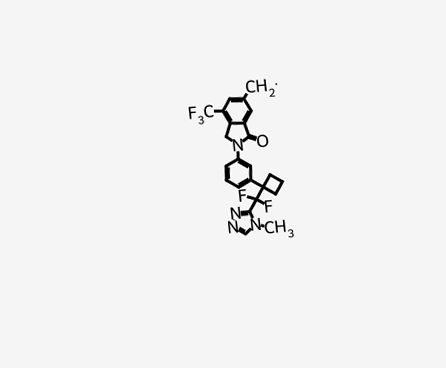 [CH2]c1cc2c(c(C(F)(F)F)c1)CN(c1cccc(C3(C(F)(F)c4nncn4C)CCC3)c1)C2=O